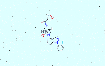 O=C(C1CCOC1)N1C[C@@H]2CN(c3cccc4c3cnn4-c3ccccc3F)C(=O)[C@@H]2C1